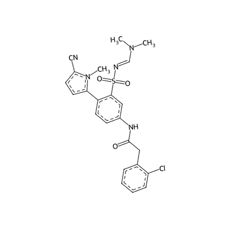 CN(C)/C=N/S(=O)(=O)c1cc(NC(=O)Cc2ccccc2Cl)ccc1-c1ccc(C#N)n1C